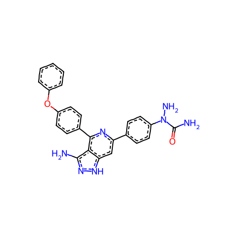 NC(=O)N(N)c1ccc(-c2cc3[nH]nc(N)c3c(-c3ccc(Oc4ccccc4)cc3)n2)cc1